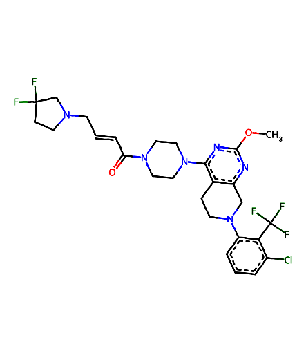 COc1nc2c(c(N3CCN(C(=O)/C=C/CN4CCC(F)(F)C4)CC3)n1)CCN(c1cccc(Cl)c1C(F)(F)F)C2